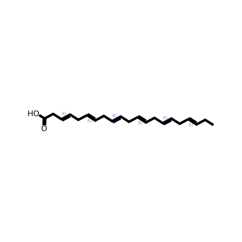 CC/C=C/C/C=C/C/C=C/C/C=C/C/C=C/C/C=C/CC(=O)O